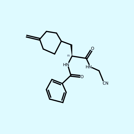 C=C1CCC(C[C@H](NC(=O)c2ccccc2)C(=O)NCC#N)CC1